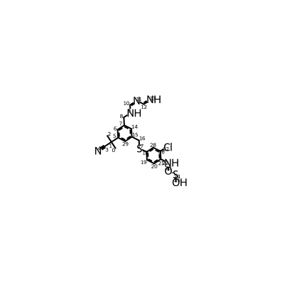 CC(C)(C#N)c1cc(CN/C=N\C=N)cc(CSc2ccc(NOSO)c(Cl)c2)c1